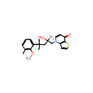 Cc1cccc(C(C)(C)CC(O)(Cn2ccc(=O)c3sccc32)C(F)(F)F)c1OC(F)(F)F